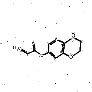 C=CC(=O)Oc1cnc2c(c1)OCCN2